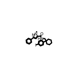 Cn1nc(-c2ccccc2)cc1C(=O)NCC1(c2ccc(I)cc2)CCCCC1